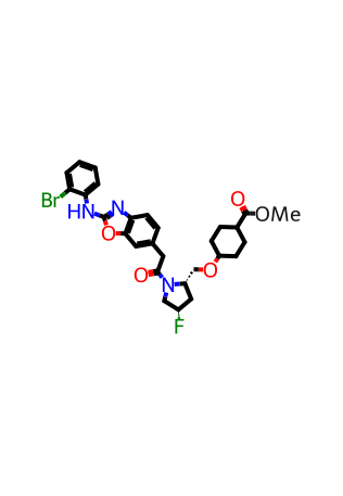 COC(=O)C1CCC(OC[C@@H]2C[C@H](F)CN2C(=O)Cc2ccc3nc(Nc4ccccc4Br)oc3c2)CC1